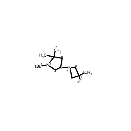 CC1(F)CN([C@H]2CN(C(C)(C)C)C(C)(C)C2)C1